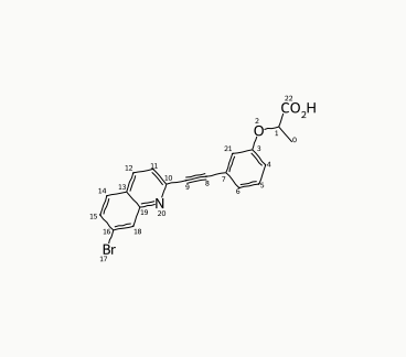 CC(Oc1cccc(C#Cc2ccc3ccc(Br)cc3n2)c1)C(=O)O